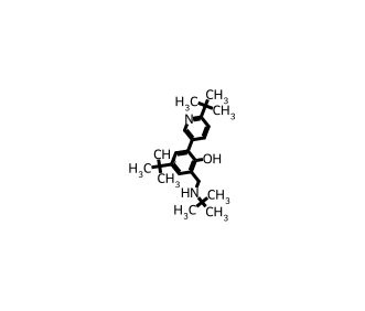 CC(C)(C)NCc1cc(C(C)(C)C)cc(-c2ccc(C(C)(C)C)nc2)c1O